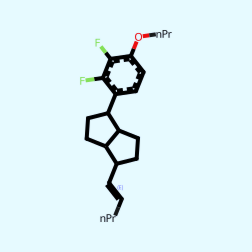 CCC/C=C/C1CCC2C(c3ccc(OCCC)c(F)c3F)CCC12